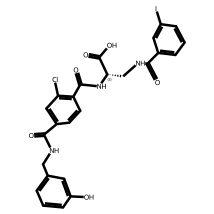 O=C(NCc1cccc(O)c1)c1ccc(C(=O)N[C@@H](CNC(=O)c2cccc(I)c2)C(=O)O)c(Cl)c1